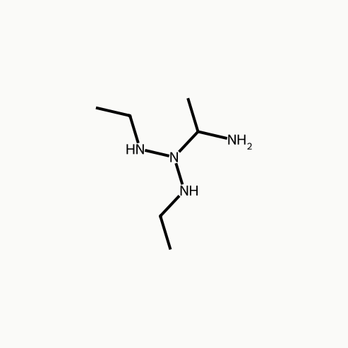 CCNN(NCC)C(C)N